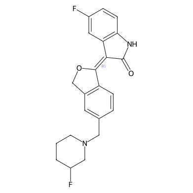 O=C1Nc2ccc(F)cc2/C1=C1\OCc2cc(CN3CCCC(F)C3)ccc21